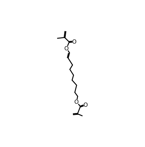 C=C(C)C(=O)OC=CCCCCCCCOC(=O)C(=C)C